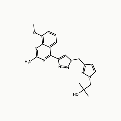 COc1cccc2c(-c3cn(Cc4ccn(CC(C)(C)O)n4)nn3)nc(N)nc12